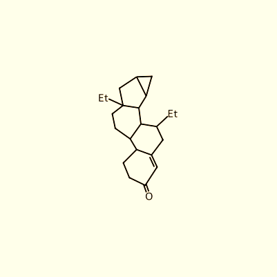 CCC1CC2=CC(=O)CCC2C2CCC3(CC)CC4CC4C3C12